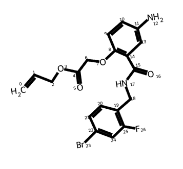 C=CCOC(=O)COc1ccc(N)cc1C(=O)NCc1ccc(Br)cc1F